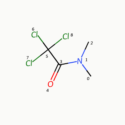 CN(C)C(=O)C(Cl)(Cl)Cl